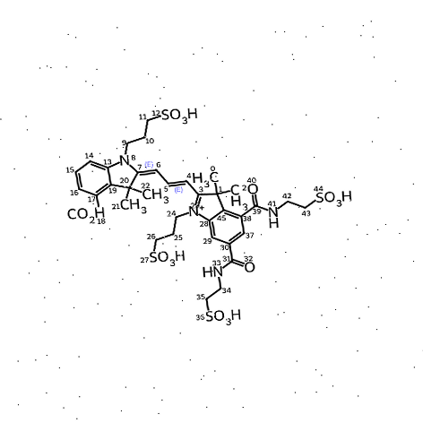 CC1(C)C(/C=C/C=C2/N(CCCS(=O)(=O)O)c3cccc(C(=O)O)c3C2(C)C)=[N+](CCCS(=O)(=O)O)c2cc(C(=O)NCCS(=O)(=O)O)cc(C(=O)NCCS(=O)(=O)O)c21